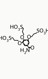 NC(=O)c1cc(OCCCS(=O)(=O)O)c(OCCCS(=O)(=O)O)c(OCCCS(=O)(=O)O)c1